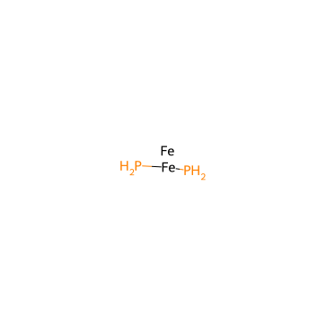 [Fe].[PH2][Fe][PH2]